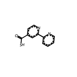 O=C(S)c1ccnc(-c2ccccn2)c1